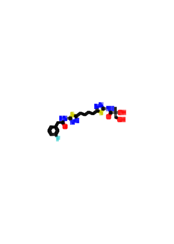 CC(O)(CO)C(=O)Nc1nnc(CCCCc2nnc(NC(=O)Cc3cccc(F)c3)s2)s1